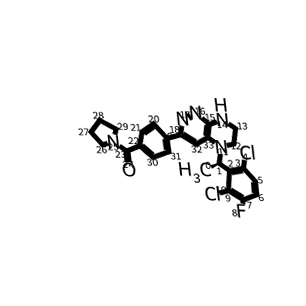 C[C@H](c1c(Cl)ccc(F)c1Cl)N1CCNc2nnc(-c3ccc(C(=O)N4CCCC4)cc3)cc21